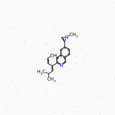 C/C=C\C(=C/C(C)C)c1cc2cc(C3=CN3C)ccc2cn1